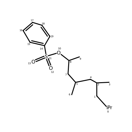 CC(C)CC(C)CC(C)CC(C)OS(=O)(=O)c1ccccc1